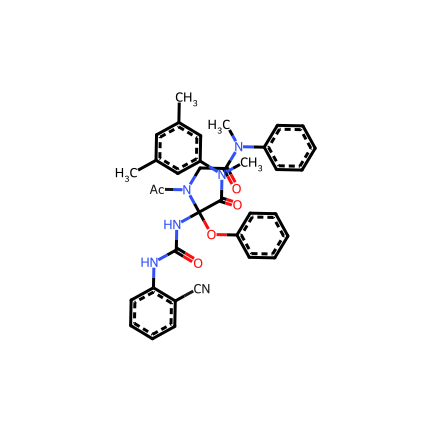 CC(=O)N(CC(=O)N(C)c1ccccc1)C(NC(=O)Nc1ccccc1C#N)(Oc1ccccc1)C(=O)N(C)c1cc(C)cc(C)c1